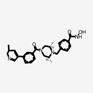 CC1C=C(c2cccc(C(=O)N3C[C@@H](C)N(Cc4ccc(C(=O)NO)cc4)[C@@H](C)C3)c2)C=NC1